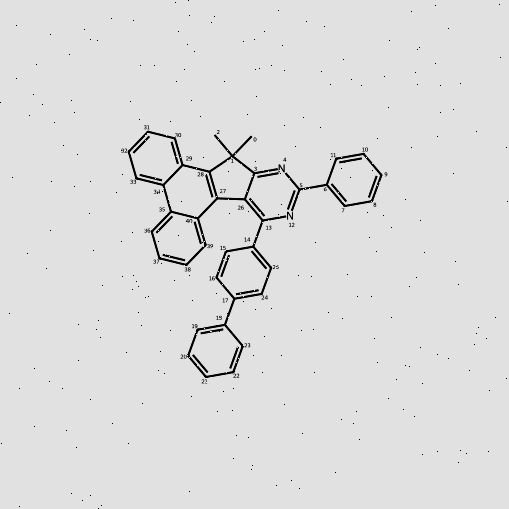 CC1(C)c2nc(-c3ccccc3)nc(-c3ccc(-c4ccccc4)cc3)c2-c2c1c1ccccc1c1ccccc21